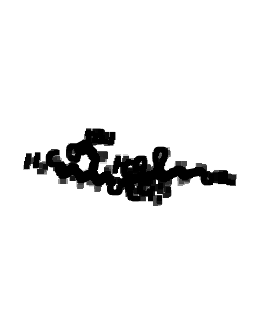 C=CCCC(CCOC(C)(C)C(C)(C)C(=O)CCCCOC(C)(C)C)CC(=O)C(C)(C)C